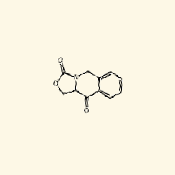 O=C1c2ccccc2CN2C(=O)OCC12